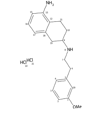 COc1cccc(CCNC2CCc3c(N)cccc3C2)c1.Cl.Cl